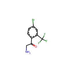 NCC(=O)c1ccc(Br)cc1C(F)(F)F